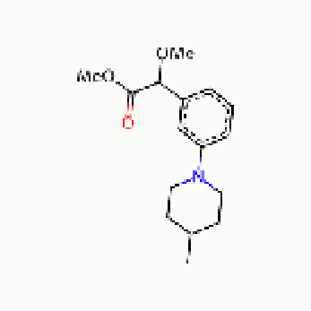 COC(=O)C(OC)c1cccc(N2CCC(C)CC2)c1